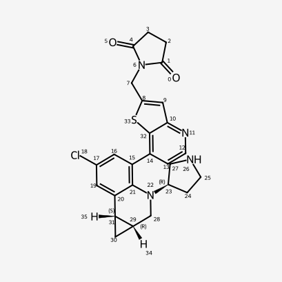 O=C1CCC(=O)N1Cc1cc2nccc(-c3cc(Cl)cc4c3N([C@@H]3CCNC3)C[C@@H]3C[C@H]43)c2s1